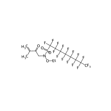 C=C(C)C(=O)CN(OCC)S(=O)(=O)C(F)(F)C(F)(F)C(F)(F)C(F)(F)C(F)(F)C(F)(F)C(F)(F)C(F)(F)F